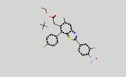 CCOC(=O)[C@@H](OC(C)(C)C)c1c(C)cc2nc(-c3ccc([N+](=O)[O-])c(F)c3)sc2c1-c1ccc(Cl)cc1